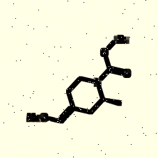 COC=C1CCN(C(=O)OC(C)(C)C)[C@@H](C)C1